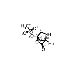 CS(=O)(=O)O[C@]12CN[C@@H](C1)C(=O)O2